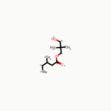 CC(CC(=O)OCC(C)(C)CO)CC(C)(C)C